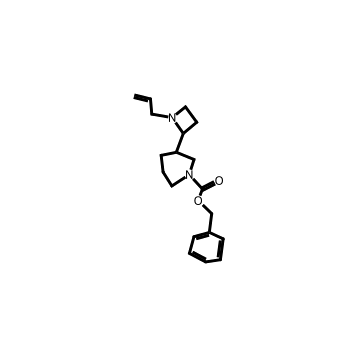 C=CCN1CCC1C1CCCN(C(=O)OCc2ccccc2)C1